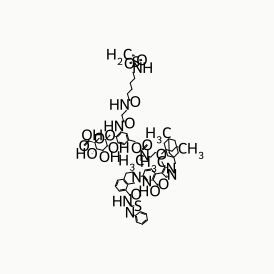 C=CS(=O)(=O)NCCCCCC(=O)NCCC(=O)Nc1cc(COC(=O)N(C)CCOC23CC4(C)CC(C)(CC(Cn5ncc(-c6ccc(N7CCc8cccc(C(=O)Nc9nc%10ccccc%10s9)c8C7)nc6C(=O)O)c5C)(C4)C2)C3)ccc1O[C@@H]1O[C@H](C(=O)O)[C@@H](O)[C@H](O)[C@H]1O